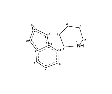 C1CCNCC1.c1ccc2cocc2c1